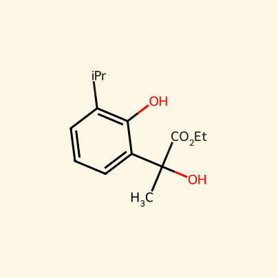 CCOC(=O)C(C)(O)c1cccc(C(C)C)c1O